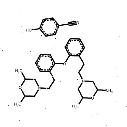 CC1CN(CCc2ccccc2Oc2ccccc2CCN2CC(C)OC(C)C2)CC(C)O1.N#Cc1ccc(O)cc1